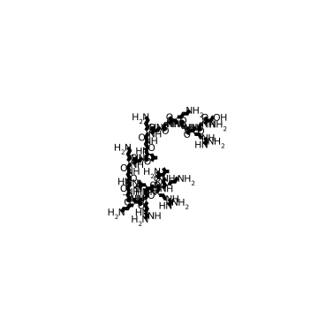 CC(C)C[C@H](NC(=O)CNC(=O)[C@H](CCCCN)NC(=O)CNC(=O)CNC(=O)[C@H](CCCCN)NC(=O)CNC(=O)[C@H](CCCNC(=N)N)NC(=O)CNC(=O)[C@@H](N)CO)C(=O)NCC(=O)N[C@@H](CCCCN)C(=O)NCC(=O)NCC(=O)N[C@@H](C)C(=O)N[C@@H](CCCCN)C(=O)N[C@@H](CCCNC(=N)N)C(=O)N[C@@H](Cc1c[nH]cn1)C(=O)N[C@@H](CCCNC(=N)N)C(=O)N[C@@H](CCCCN)C(=O)N[C@H](C(N)=O)C(C)C